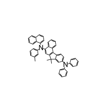 Cc1cccc(N(c2cccc3ccccc23)c2cc3c(c4ccccc24)-c2ccc(N(c4ccccc4)c4ccccc4)cc2C3(C)C)c1